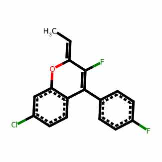 C/C=C1\Oc2cc(Cl)ccc2C(c2ccc(F)cc2)=C1F